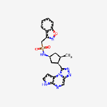 C[C@@H]1C[C@H](NS(=O)(=O)Cc2noc3ccccc23)C[C@@H]1c1nnc2cnc3[nH]ccc3n12